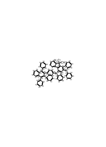 CC1(C)c2ccccc2-c2c1c1c3ccccc3n(-c3ccccc3)c1c1c3ccccc3n(-c3ccc4c5c(cccc35)-c3c-4c(-c4ccccc4)c4ccccc4c3-c3ccccc3)c21